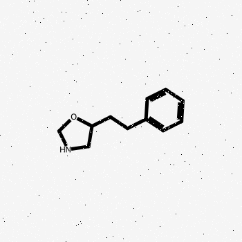 c1ccc(CCC2CNCO2)cc1